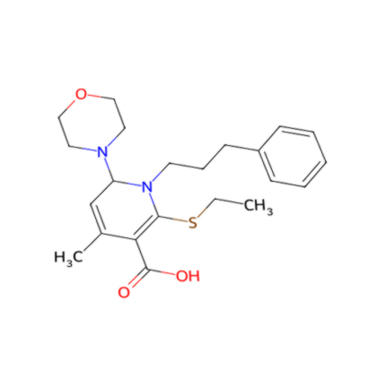 CCSC1=C(C(=O)O)C(C)=CC(N2CCOCC2)N1CCCc1ccccc1